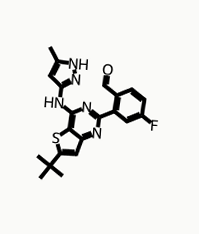 Cc1cc(Nc2nc(-c3cc(F)ccc3C=O)nc3cc(C(C)(C)C)sc23)n[nH]1